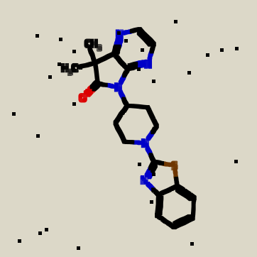 CC1(C)C(=O)N(C2CCN(c3nc4ccccc4s3)CC2)c2nccnc21